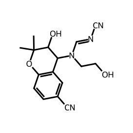 CC1(C)Oc2ccc(C#N)cc2C(N(C=NC#N)CCO)C1O